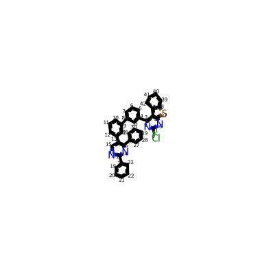 Clc1nc(-c2cccc(-c3cccc(-c4cnc(-c5ccccc5)nc4-c4ccccc4)c3)c2)c2c(n1)sc1ccccc12